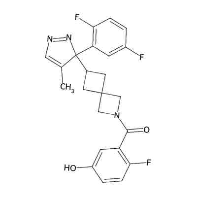 CC1=CN=NC1(c1cc(F)ccc1F)C1CC2(C1)CN(C(=O)c1cc(O)ccc1F)C2